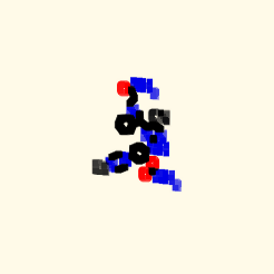 CCN1CCN(c2ccc(Nc3ncc(C#N)c(-c4cn(CCC(N)=O)c5ccccc45)n3)c(OC(N)=O)c2)CC1